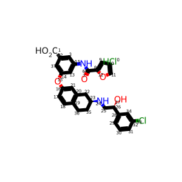 Cl.O=C(O)c1cc(NC(=O)c2ccco2)cc(Oc2ccc3c(c2)C[C@@H](NC[C@H](O)c2cccc(Cl)c2)CC3)c1